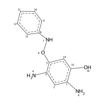 Nc1cc(N)c(ONc2ccccc2)cc1O